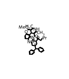 COC(=O)C1=C(C)NC(C)=C(C(=O)NN2CCC(C(c3ccccc3)c3ccccc3)CC2C(=O)CC(C)C)C1c1cccc([N+](=O)[O-])c1